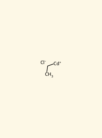 C[CH2][Cd+].[Cl-]